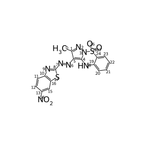 Cc1nn2c(c1/N=N/c1nc3ccc([N+](=O)[O-])cc3s1)Nc1ccccc1S2(=O)=O